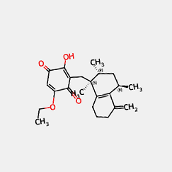 C=C1CCCC2=C1[C@H](C)C[C@@H](C)[C@]2(C)CC1=C(O)C(=O)C=C(OCC)C1=O